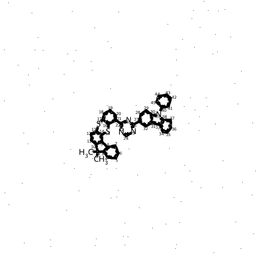 CC1(C)c2ccccc2-c2c1ccc1c2Sc2c(cccc2-c2ncnc(-c3ccc4c(c3)c3ccccc3n4-c3ccccc3)n2)S1